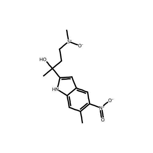 Cc1cc2[nH]c(C(C)(O)CC[S+](C)[O-])cc2cc1[N+](=O)[O-]